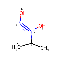 CC(C)/[N+](O)=N/O